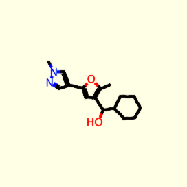 Cc1oc(-c2cnn(C)c2)cc1C(O)C1CCCCC1